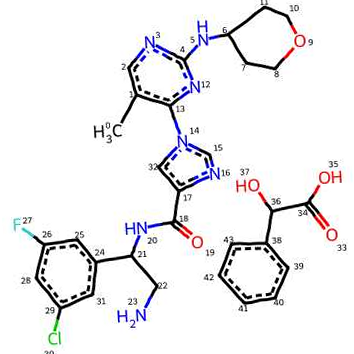 Cc1cnc(NC2CCOCC2)nc1-n1cnc(C(=O)NC(CN)c2cc(F)cc(Cl)c2)c1.O=C(O)C(O)c1ccccc1